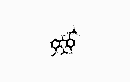 COc1cccc(C(O)c2cc(Cl)ccc2NC(=O)O)c1OC(F)F